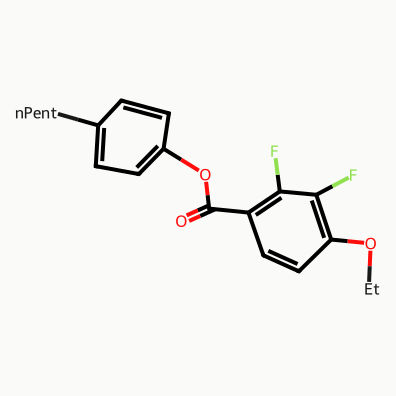 CCCCCc1ccc(OC(=O)c2ccc(OCC)c(F)c2F)cc1